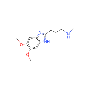 CNCCCc1nc2cc(OC)c(OC)cc2[nH]1